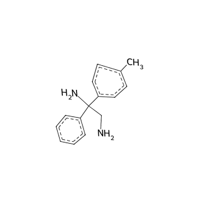 Cc1ccc(C(N)(CN)c2ccccc2)cc1